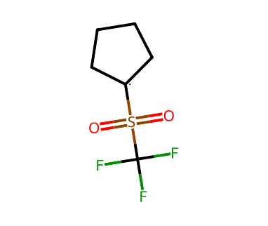 O=S(=O)([C]1CCCC1)C(F)(F)F